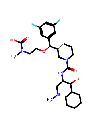 CNCC(NC(=O)N1CCC[C@@H]([C@@H](OCCN(C)C(=O)O)c2cc(F)cc(F)c2)C1)C(O)C1CCCCC1